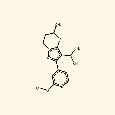 COc1cc(-c2nn3c(c2C(C)C)O[C@H](C)CC3)ccn1